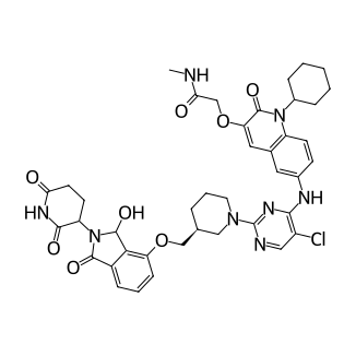 CNC(=O)COc1cc2cc(Nc3nc(N4CCC[C@H](COc5cccc6c5C(O)N(C5CCC(=O)NC5=O)C6=O)C4)ncc3Cl)ccc2n(C2CCCCC2)c1=O